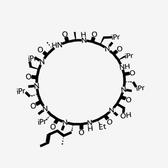 C/C=C/C[C@@H](C)C[C@H]1C(=O)N[C@@H](CC)C(=O)N(C)C(CO)C(=O)N(C)[C@@H](CC(C)C)C(=O)N[C@H](C(C)C)C(=O)N(C)[C@H](CC(C)C)C(=O)N[C@H](C)C(=O)N[C@@H](C)C(=O)N(C)[C@H](CC(C)C)C(=O)N(C)[C@@H](CC(C)C)C(=O)N(C)[C@@H](C(C)C)C(=O)N1C